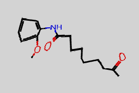 COc1ccccc1NC(=O)CCCCCCC(C)=O